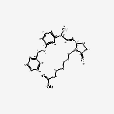 O=C(O)CCCCCCN1C(=O)CC[C@@H]1C=CC(O)c1cccc(OCc2ccccc2)c1